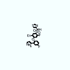 CCc1cc(S(=O)(=O)Nc2cscn2)c(F)cc1Oc1ccc(F)cc1-c1ccnn1C